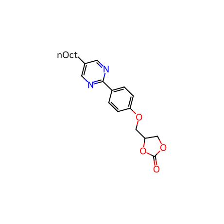 CCCCCCCCc1cnc(-c2ccc(OCC3COC(=O)O3)cc2)nc1